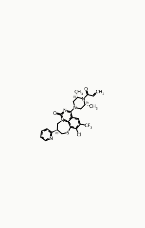 C=CC(=O)N1[C@H](C)CN(c2nc(=O)n3c4c(c(Cl)c(C(F)(F)F)cc24)SC[C@@H](c2ccccn2)C3)C[C@@H]1C